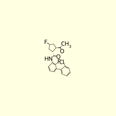 CC(=O)[C@@H]1C[C@H](F)C[C@H]1C(=O)Nc1cccc(-c2ccccc2Cl)c1F